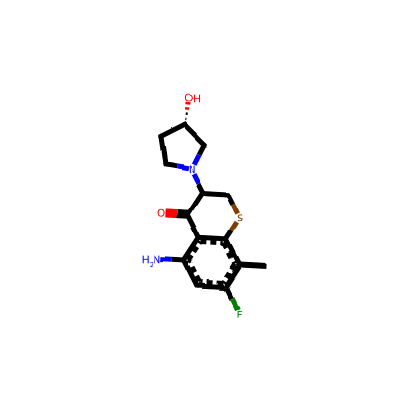 Cc1c(F)cc(N)c2c1SCC(N1CC[C@H](O)C1)C2=O